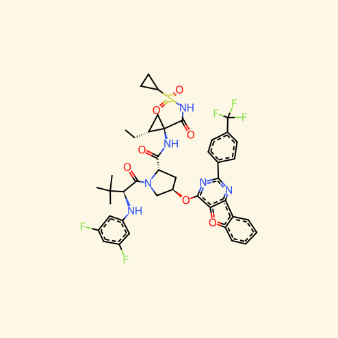 CC[C@@H]1C[C@]1(NC(=O)[C@@H]1C[C@@H](Oc2nc(-c3ccc(C(F)(F)F)cc3)nc3c2oc2ccccc23)CN1C(=O)[C@@H](Nc1cc(F)cc(F)c1)C(C)(C)C)C(=O)NS(=O)(=O)C1CC1